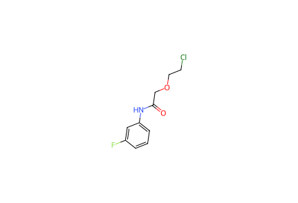 O=C(COCCCl)Nc1cccc(F)c1